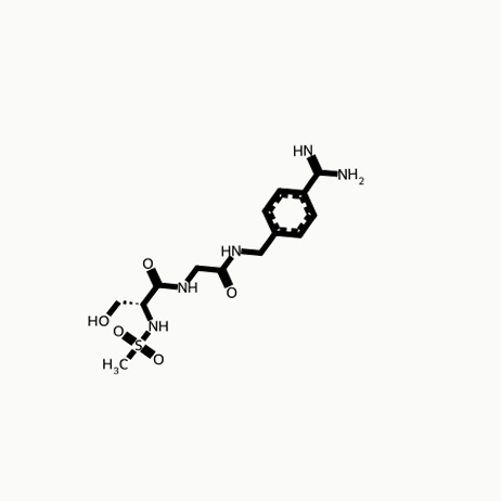 CS(=O)(=O)N[C@H](CO)C(=O)NCC(=O)NCc1ccc(C(=N)N)cc1